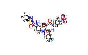 O=C(Nc1nc2ccccc2s1)c1ccc(N(Cc2ccc(F)cc2)C(=O)[C@H]2O[C@@H]2C(=O)Nc2ccc([N+](=O)[O-])cc2)cc1